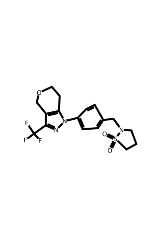 O=S1(=O)CCCN1Cc1ccc(-n2nc(C(F)(F)F)c3c2CCOC3)cc1